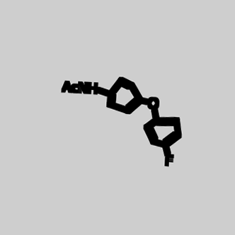 CC(=O)Nc1ccc(Oc2ccc(F)cc2)cc1